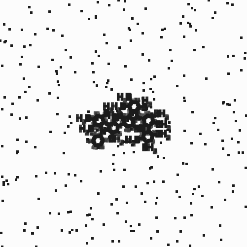 Bc1cc(B)c2c(oc3c(-n4c5c(B)cc(B)c(B)c5c5c(B)c(-c6cc(B)c7c(c6B)c6c(B)cc(B)c(B)c6n7-c6ccccc6)cc(B)c54)cc(B)c(B)c32)c1B